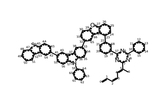 C=C/C=C\C=C(/C)c1nc(-c2ccccc2)nc(-c2cccc(-c3cccc4oc5ccc(-c6ccc7c(c6)c6cc(-c8ccc9sc%10ccccc%10c9c8)ccc6n7-c6ccccc6)cc5c34)c2)n1